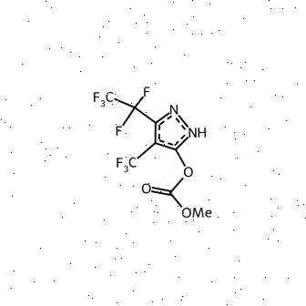 COC(=O)Oc1[nH]nc(C(F)(F)C(F)(F)F)c1C(F)(F)F